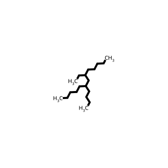 CCCCCC(CC)CC(CCCC)CCCCC